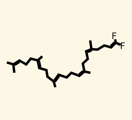 CC(C)=CCCC(C)=CCCC(C)=CCCC=C(C)CCC=C(C)CCC=C(F)F